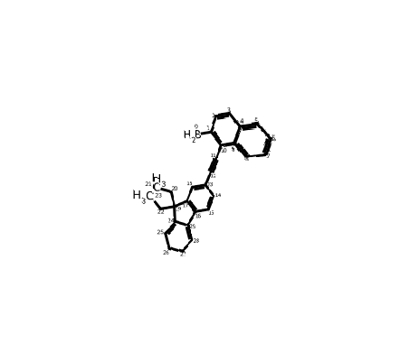 Bc1ccc2ccccc2c1C#Cc1ccc2c(c1)C(CC)(CC)C1=CCCC=C12